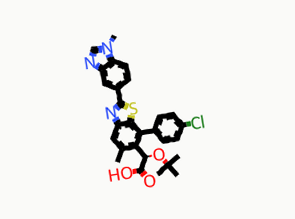 Cc1cc2nc(-c3ccc4c(c3)ncn4C)sc2c(-c2ccc(Cl)cc2)c1[C@H](OC(C)(C)C)C(=O)O